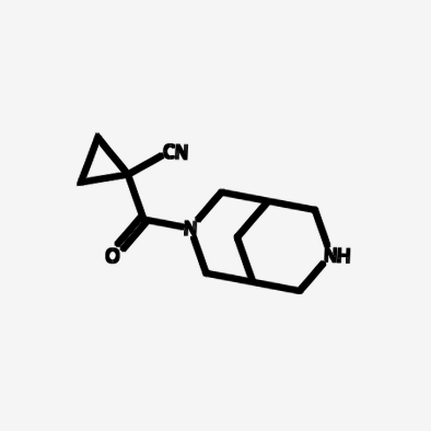 N#CC1(C(=O)N2CC3CNCC(C3)C2)CC1